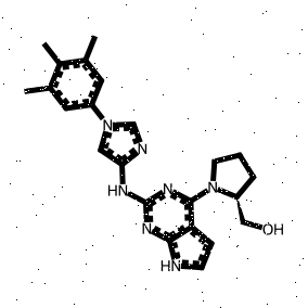 Cc1cc(-n2cnc(Nc3nc(N4CCC[C@H]4CO)c4cc[nH]c4n3)c2)cc(C)c1C